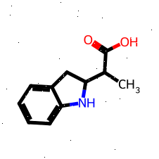 CC(C(=O)O)C1Cc2ccccc2N1